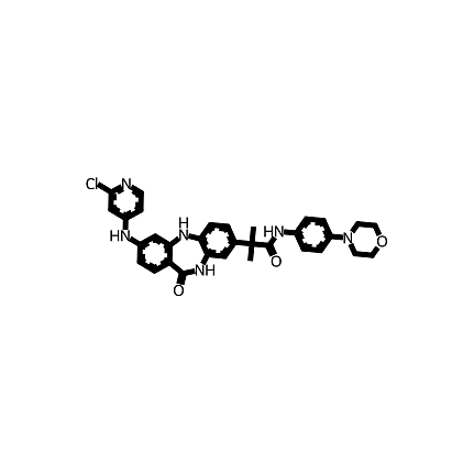 CC(C)(C(=O)Nc1ccc(N2CCOCC2)cc1)c1ccc2c(c1)NC(=O)c1ccc(Nc3ccnc(Cl)c3)cc1N2